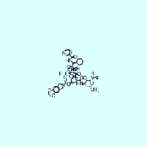 CCC[C@H](NC(=O)C1C[C@@H](OC(=O)N2Cc3cc4c(cc3C2)OCCO4)CN1C(=O)[C@@H](NC(=O)[C@@H](NC(=O)c1cnccn1)C1CCCCC1)C(C)(C)C)C(=O)C(=O)NC1CC1